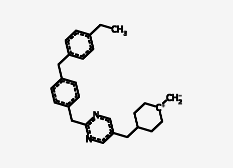 [CH2-][C+]1CCC(Cc2cnc(Cc3ccc(Cc4ccc(CC)cc4)cc3)nc2)CC1